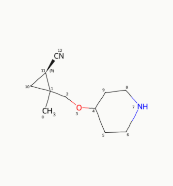 CC1(COC2CCNCC2)C[C@H]1C#N